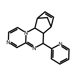 C1=CN2C(=NC(c3ccccn3)C3C4C=CC(C4)C32)C=N1